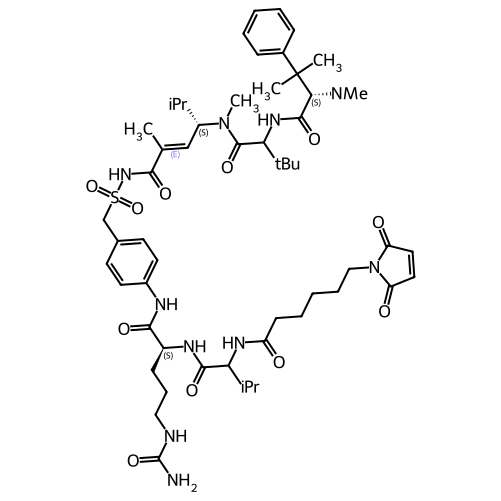 CN[C@H](C(=O)NC(C(=O)N(C)[C@H](/C=C(\C)C(=O)NS(=O)(=O)Cc1ccc(NC(=O)[C@H](CCCNC(N)=O)NC(=O)C(NC(=O)CCCCCN2C(=O)C=CC2=O)C(C)C)cc1)C(C)C)C(C)(C)C)C(C)(C)c1ccccc1